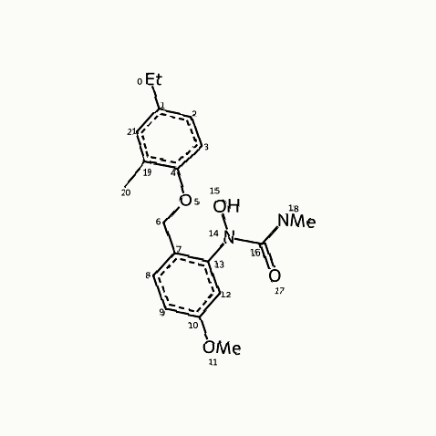 CCc1ccc(OCc2ccc(OC)cc2N(O)C(=O)NC)c(C)c1